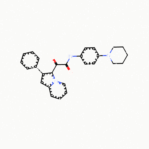 O=C(Nc1ccc(N2CCCCC2)cc1)C(=O)c1c(-c2ccccc2)cc2ccccn12